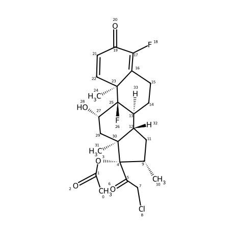 CC(=O)O[C@@]1(C(=O)CCl)[C@@H](C)C[C@H]2[C@@H]3CCC4=C(F)C(=O)C=C[C@]4(C)[C@@]3(F)[C@@H](O)C[C@@]21C